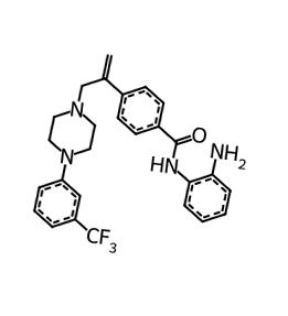 C=C(CN1CCN(c2cccc(C(F)(F)F)c2)CC1)c1ccc(C(=O)Nc2ccccc2N)cc1